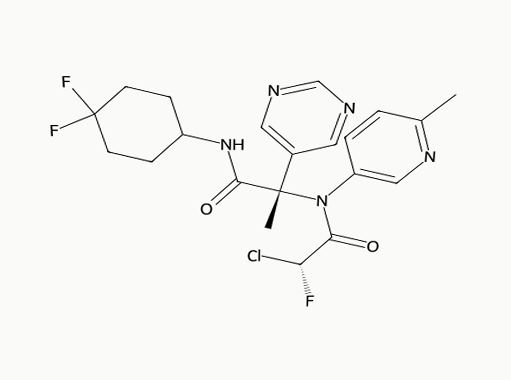 Cc1ccc(N(C(=O)[C@H](F)Cl)[C@](C)(C(=O)NC2CCC(F)(F)CC2)c2cncnc2)cn1